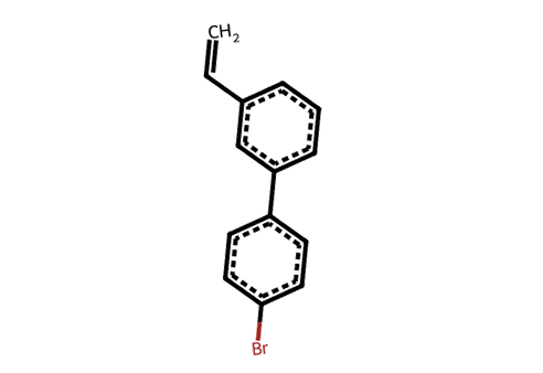 C=Cc1cccc(-c2ccc(Br)cc2)c1